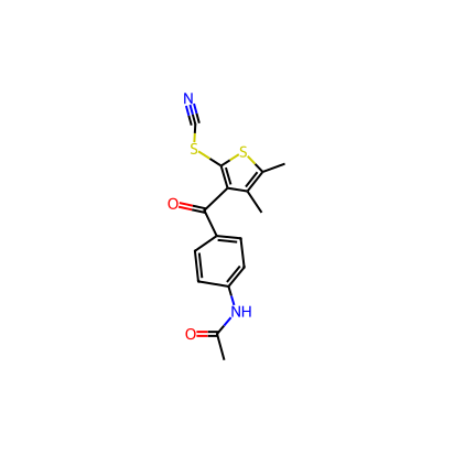 CC(=O)Nc1ccc(C(=O)c2c(SC#N)sc(C)c2C)cc1